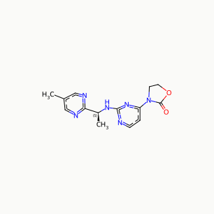 Cc1cnc([C@H](C)Nc2nccc(N3CCOC3=O)n2)nc1